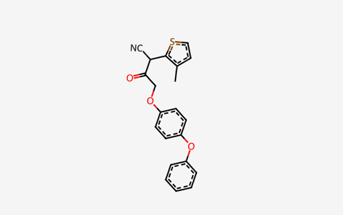 Cc1ccsc1C(C#N)C(=O)COc1ccc(Oc2ccccc2)cc1